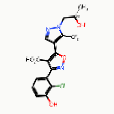 C[C@H](O)Cn1ncc(-c2onc(-c3cccc(O)c3Cl)c2C(=O)O)c1C(F)(F)F